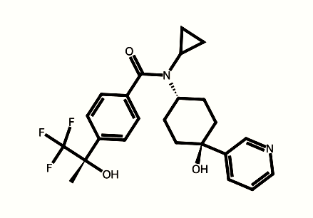 C[C@](O)(c1ccc(C(=O)N(C2CC2)[C@H]2CC[C@@](O)(c3cccnc3)CC2)cc1)C(F)(F)F